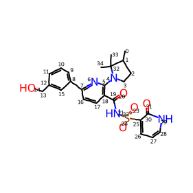 CC1CCN(c2nc(-c3cccc(CO)c3)ccc2C(=O)NS(=O)(=O)c2ccc[nH]c2=O)C1(C)C